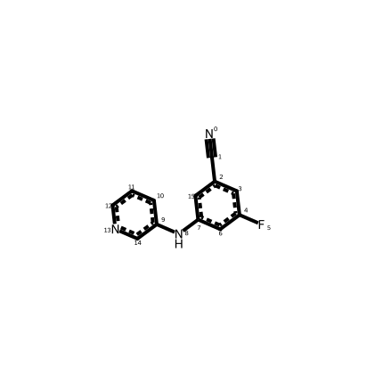 N#Cc1cc(F)cc(Nc2cccnc2)c1